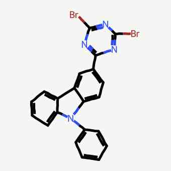 Brc1nc(Br)nc(-c2ccc3c(c2)c2ccccc2n3-c2ccccc2)n1